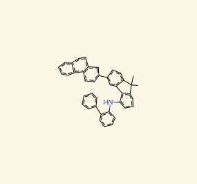 CC1(C)c2ccc(-c3ccc4c(ccc5ccccc54)c3)cc2-c2c(Nc3ccccc3-c3ccccc3)cccc21